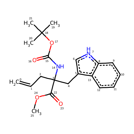 C=CCC(Cc1c[nH]c2ccccc12)(NC(=O)OC(C)(C)C)C(=O)OC